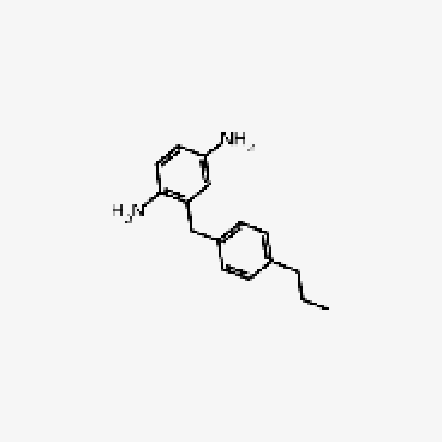 CCCc1ccc(Cc2cc(N)ccc2N)cc1